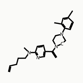 C=CCCCN(C)c1ccc(C(=C)N2CCN(c3ccc(C)cc3C)CC2)cn1